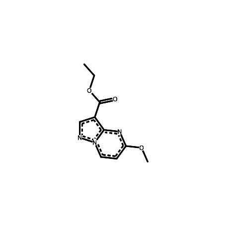 CCOC(=O)c1cnn2ccc(OC)nc12